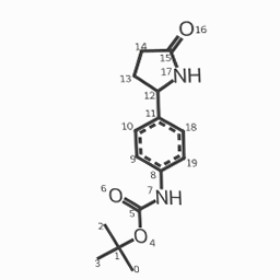 CC(C)(C)OC(=O)Nc1ccc(C2CCC(=O)N2)cc1